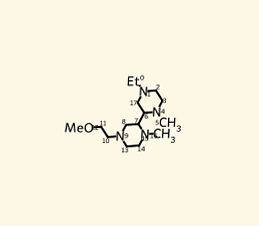 CCN1CCN(C)C(C2CN(CCOC)CCN2C)C1